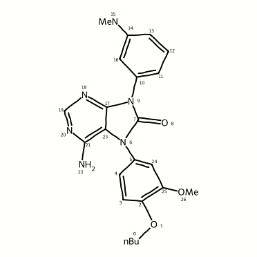 CCCCOc1ccc(-n2c(=O)n(-c3cccc(NC)c3)c3ncnc(N)c32)cc1OC